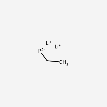 CC[P-2].[Li+].[Li+]